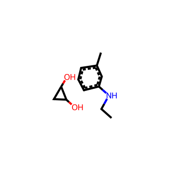 CCNc1cccc(C)c1.OC1CC1O